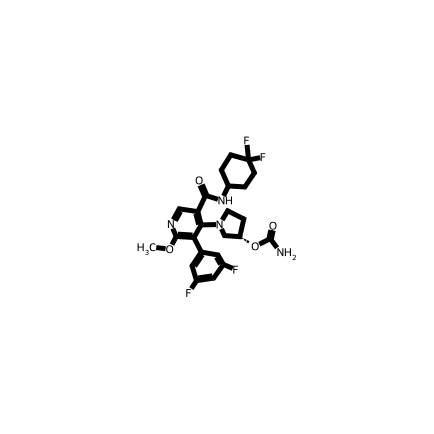 COc1ncc(C(=O)NC2CCC(F)(F)CC2)c(N2CC[C@H](OC(N)=O)C2)c1-c1cc(F)cc(F)c1